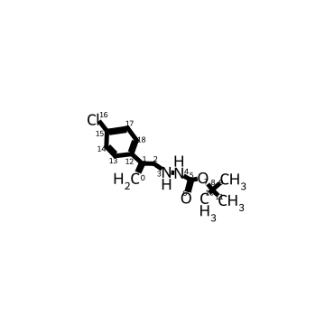 C=C(CNNC(=O)OC(C)(C)C)c1ccc(Cl)cc1